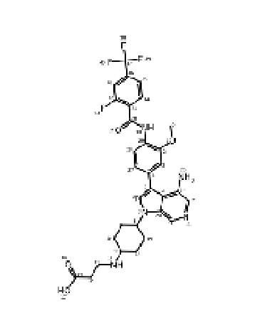 COc1cc(-c2nn(C3CCC(NCCC(=O)O)CC3)c3cncc(N)c23)ccc1NC(=O)c1ccc(C(F)(F)F)cc1F